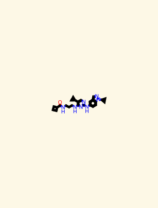 O=C(NCCCNc1nc(Nc2ccc3c(cnn3C3CC3)c2)ncc1C1CC1)C1CCC1